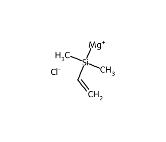 C=C[Si](C)(C)[Mg+].[Cl-]